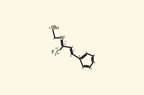 CC(C)(C)C/N=C(/C=C/c1ccccc1)C(F)(F)F